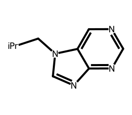 CC(C)Cn1cnc2ncncc21